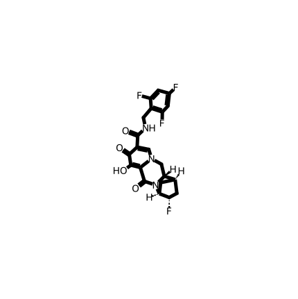 O=C(NCc1c(F)cc(F)cc1F)c1cn2c(c(O)c1=O)C(=O)N1[C@H](C2)[C@H]2C[C@H](F)[C@@H]1C2